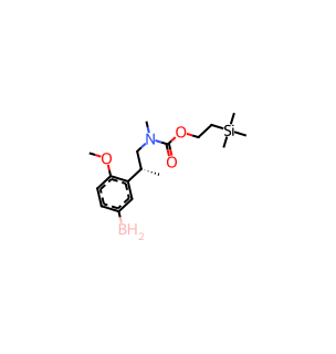 Bc1ccc(OC)c([C@@H](C)CN(C)C(=O)OCC[Si](C)(C)C)c1